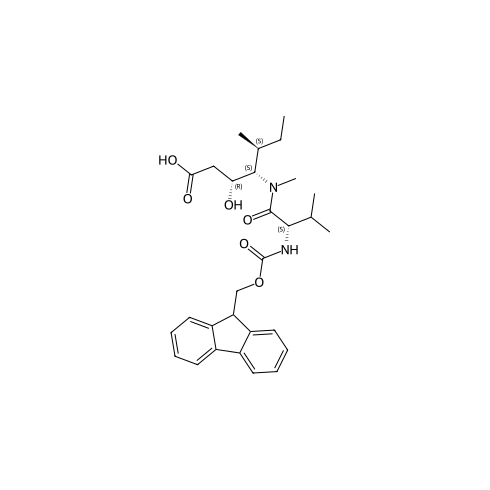 CC[C@H](C)[C@@H]([C@H](O)CC(=O)O)N(C)C(=O)[C@@H](NC(=O)OCC1c2ccccc2-c2ccccc21)C(C)C